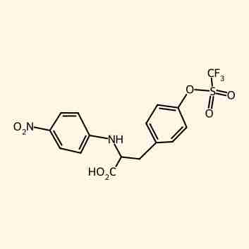 O=C(O)C(Cc1ccc(OS(=O)(=O)C(F)(F)F)cc1)Nc1ccc([N+](=O)[O-])cc1